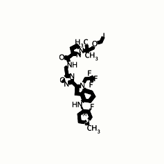 CN1CC[C@@H](Nc2cccc3c2cc(-c2noc(CNC(=O)c4ccn(C(C)(C)COCI)n4)n2)n3CC(F)(F)F)[C@@H](F)C1